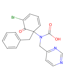 O=C(O)N(Cc1ccncn1)C1(Cc2ccccc2)C=CC=C(Br)C1=O